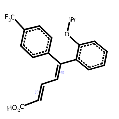 CC(C)Oc1ccccc1/C(=C/C=C/C(=O)O)c1ccc(C(F)(F)F)cc1